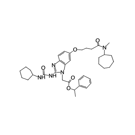 CC(OC(=O)CN1Cc2cc(OCCCC(=O)N(C)C3CCCCCC3)ccc2N=C1NC(=O)NC1CCCCC1)c1ccccc1